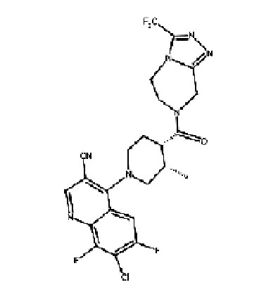 C[C@@H]1CN(c2c(C#N)cnc3c(F)c(Cl)c(F)cc23)CC[C@@H]1C(=O)N1CCn2c(nnc2C(F)(F)F)C1